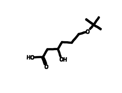 CC(C)(C)OCCCC(O)CC(=O)O